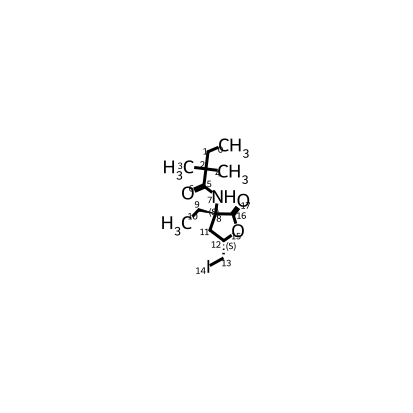 CCC(C)(C)C(=O)N[C@@]1(CC)C[C@@H](CI)OC1=O